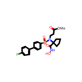 COC(=O)CCN(C1(C(=O)NO)CCCC1)S(=O)(=O)c1ccc(-c2ccc(F)cc2)cc1